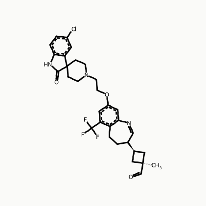 C[C@]1(C=O)C[C@@H](C2C=Nc3cc(OCCN4CCC5(CC4)C(=O)Nc4ccc(Cl)cc45)cc(C(F)(F)F)c3CC2)C1